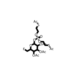 CC(=O)OC1C(CF)OC(OP(=O)(OCCSC(C)=O)OCCSC(C)=O)C(OC(C)=O)C1OC(C)=O